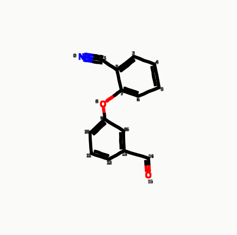 N#Cc1ccccc1Oc1cccc(C=O)c1